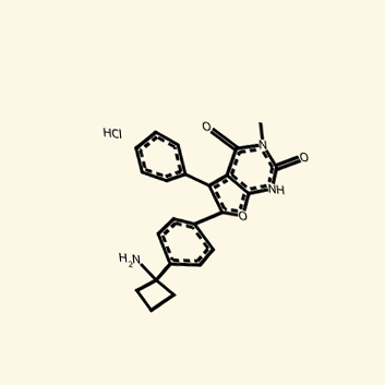 Cl.Cn1c(=O)[nH]c2oc(-c3ccc(C4(N)CCC4)cc3)c(-c3ccccc3)c2c1=O